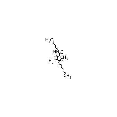 CCCCCCNC(=O)C(C)C(=O)C(C)C(=O)NCCCCCC